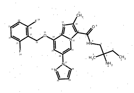 CCC(C)(N)CNC(=O)c1c(C)nc2c(OCc3c(F)cccc3F)cc(-n3cccn3)cn12